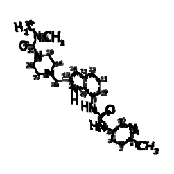 Cc1ccc(NC(=O)Nc2cccc3cc(CN4CCN(C(=O)N(C)C)CC4)[nH]c23)cn1